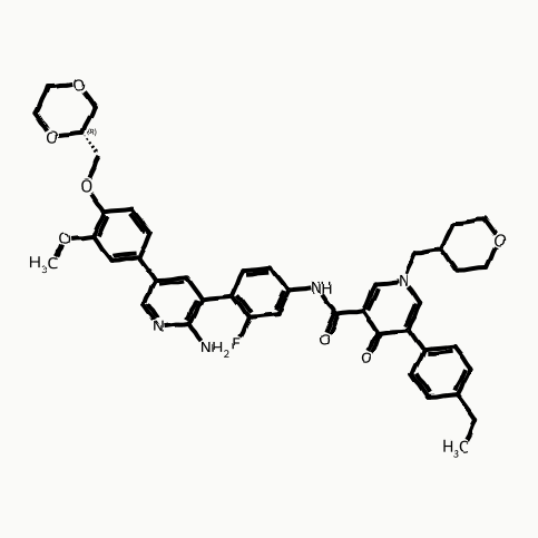 CCc1ccc(-c2cn(CC3CCOCC3)cc(C(=O)Nc3ccc(-c4cc(-c5ccc(OC[C@H]6COCCO6)c(OC)c5)cnc4N)c(F)c3)c2=O)cc1